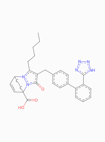 CCCCCc1c(Cc2ccc(-c3ccccc3-c3nnn[nH]3)cc2)c(=O)n2n1C1C=CC2(C(=O)O)CC1